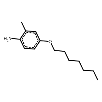 CCCCCCCOc1ccc(N)c(C)c1